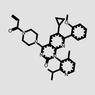 C=CC(=O)N1CCN(c2nc(=O)n(-c3c(C)ccnc3C(C)C)c3nc(-c4ccccc4OC)c(C4CC4)cc23)CC1